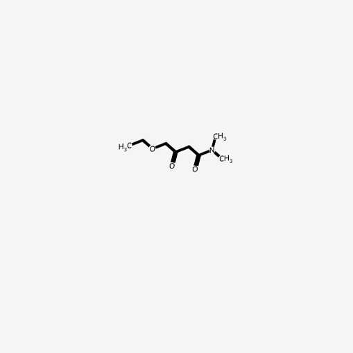 CCOCC(=O)CC(=O)N(C)C